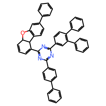 C1=CC2Oc3cc(-c4ccccc4)ccc3C2C(c2nc(-c3ccc(-c4ccccc4)cc3)nc(-c3ccc(-c4ccccc4)c(-c4ccccc4)c3)n2)=C1